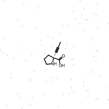 CC#C[C@@]1(C(=O)O)CCCN1